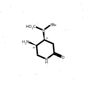 CC(C)(C)N(C(=O)O)[C@H]1CC(=O)NC[C@H]1N